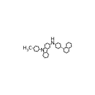 Cc1ccc(-n2c3ccccc3c3cc(Nc4ccc(-c5cccc6ccccc56)cc4)ccc32)cc1